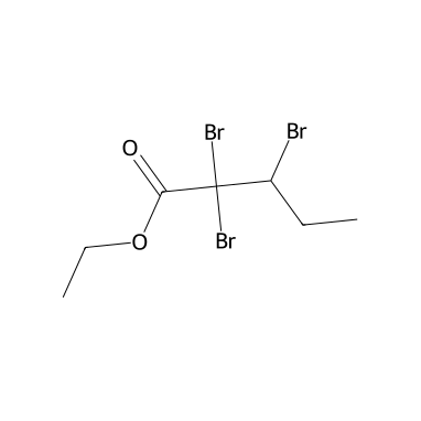 CCOC(=O)C(Br)(Br)C(Br)CC